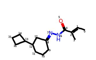 C/C=C(\C)C(=O)N/N=C1\CCCC(C2CCC2)C1